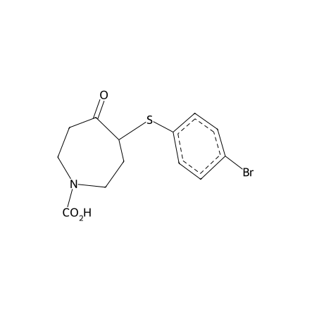 O=C1CCN(C(=O)O)CCC1Sc1ccc(Br)cc1